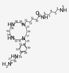 CNCCCCCNC(=O)CCCCN1CCCN(Cc2ccc(CNCCN)cc2)CCNCCCNCC1